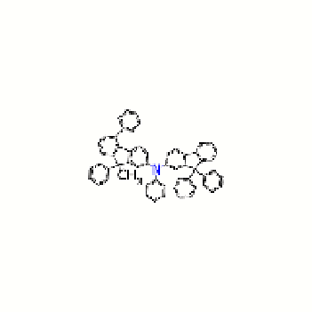 CC1(c2ccccc2)c2cc(N(c3ccccc3)c3ccc4c(c3)C(c3ccccc3)(c3ccccc3)c3ccccc3-4)ccc2-c2c(-c3ccccc3)cccc21